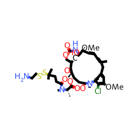 COc1cc2cc(c1Cl)N(C)C(=O)C[C@H](OC(=O)[C@H](C)N(C)C(=O)CCC(C)(C)SSCCN)[C@]1(C)OC1C1(C)COC(=O)N[C@](O)(C1)[C@H](OC)/C=C/C=C(\C)C2